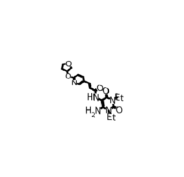 CCn1c(N)c(NC(=O)C=Cc2ccc(OC3CCOC3)nc2)c(=O)n(CC)c1=O